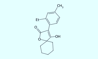 CCc1cc(C)ccc1C1=C(O)C2(CCCCC2)OC1=O